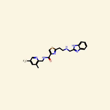 Cc1cc(C(F)(F)F)cnc1CNC(=O)c1csc(CCNCc2nc3ccccc3[nH]2)n1